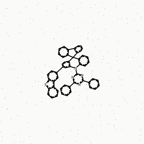 c1ccc(-c2nc(-c3ccccc3)nc(N3c4ccccc4C4(c5ccccc5-c5ccccc54)c4ccc(-c5ccc6sc7ccccc7c6c5)cc43)n2)cc1